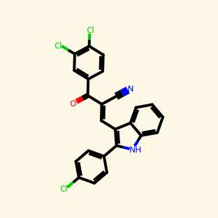 N#CC(=Cc1c(-c2ccc(Cl)cc2)[nH]c2ccccc12)C(=O)c1ccc(Cl)c(Cl)c1